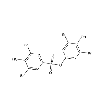 O=S(=O)(Oc1cc(Br)c(O)c(Br)c1)c1cc(Br)c(O)c(Br)c1